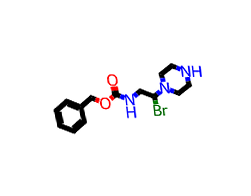 O=C(NCC(Br)N1CCNCC1)OCc1ccccc1